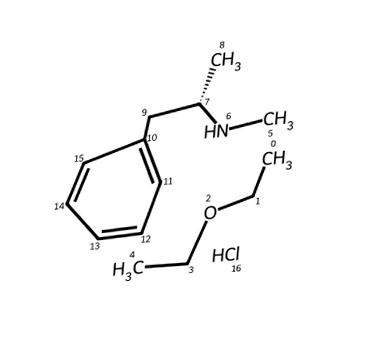 CCOCC.CN[C@@H](C)Cc1ccccc1.Cl